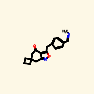 C/N=C\c1ccc(Cc2onc3c2C(=O)CC2(CCC2)C3)cc1